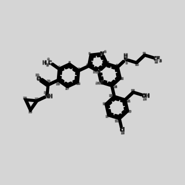 Cc1cc(-c2cnc3c(NCCC(F)(F)F)cc(-c4ccc(Cl)cc4CO)nn23)ccc1C(=O)NC1CC1